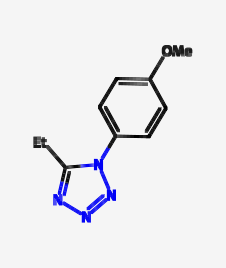 CCc1nnnn1-c1ccc(OC)cc1